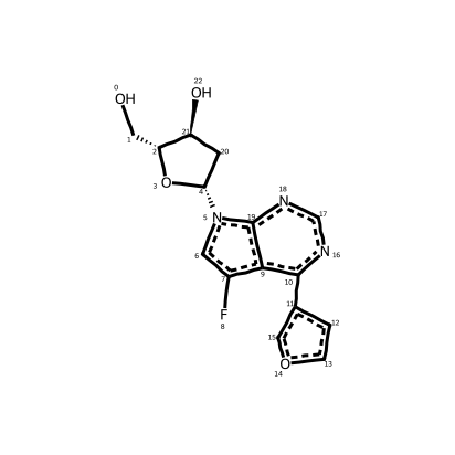 OC[C@H]1O[C@@H](n2cc(F)c3c(-c4ccoc4)ncnc32)C[C@@H]1O